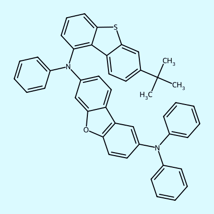 CC(C)(C)c1ccc2c(c1)sc1cccc(N(c3ccccc3)c3ccc4c(c3)oc3ccc(N(c5ccccc5)c5ccccc5)cc34)c12